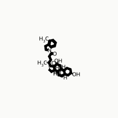 Cc1cccc2c1CCN2C(=O)CC[C@@H](C)[C@H]1CC[C@H]2[C@@H]3CC[C@@H]4C[C@H](O)CC[C@]4(C)[C@H]3C[C@H](O)[C@]12C